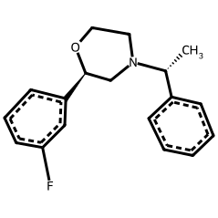 C[C@H](c1ccccc1)N1CCO[C@H](c2cccc(F)c2)C1